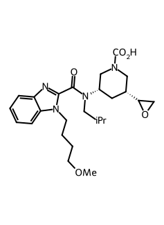 COCCCCn1c(C(=O)N(CC(C)C)[C@H]2C[C@@H](C3CO3)CN(C(=O)O)C2)nc2ccccc21